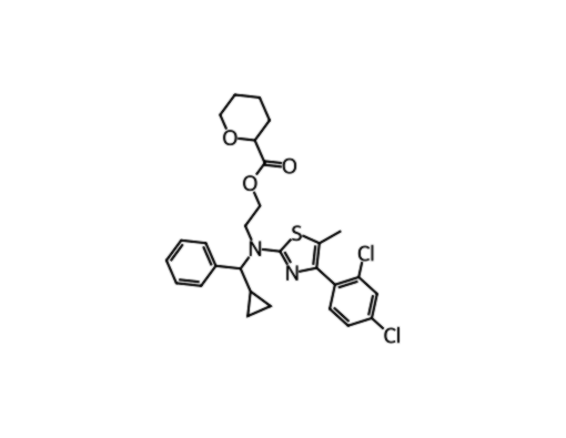 Cc1sc(N(CCOC(=O)C2CCCCO2)C(c2ccccc2)C2CC2)nc1-c1ccc(Cl)cc1Cl